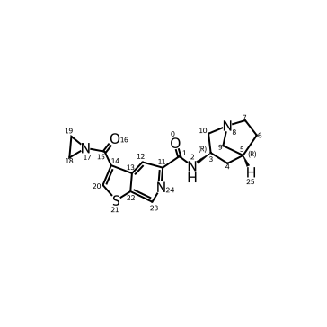 O=C(N[C@@H]1C[C@H]2CCN(C2)C1)c1cc2c(C(=O)N3CC3)csc2cn1